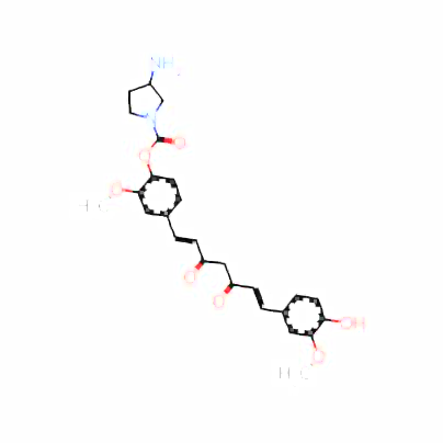 COc1cc(C=CC(=O)CC(=O)C=Cc2ccc(OC(=O)N3CCC(N)C3)c(OC)c2)ccc1O